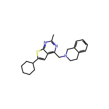 Cc1nc(CN2CCc3ccccc3C2)c2cc(C3CCCCC3)sc2n1